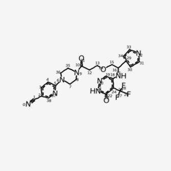 N#Cc1ccc(N2CCN(C(=O)CCOCC(Nc3cn[nH]c(=O)c3C(F)(F)F)c3ccncc3)CC2)nc1